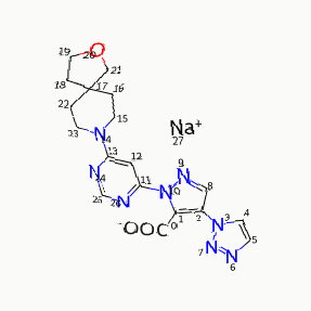 O=C([O-])c1c(-n2ccnn2)cnn1-c1cc(N2CCC3(CCOC3)CC2)ncn1.[Na+]